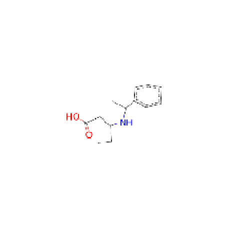 CCC(CC(=O)O)NC(C)c1ccccc1